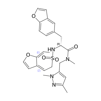 C/C=c1/occ/c1=C/CS(=O)(=O)N[C@H](Cc1ccc2occc2c1)C(=O)N(C)Cc1cc(C)nn1C